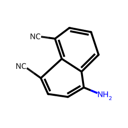 N#Cc1cccc2c(N)ccc(C#N)c12